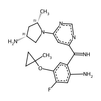 C[C@H]1C[C@@H](N)CN1c1cc(C(=N)c2cc(OC3(C)CC3)c(F)cc2N)ncn1